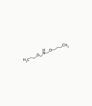 CCCCOCNCOCCC